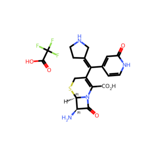 N[C@@H]1C(=O)N2C(C(=O)O)=C(C(=C3CCNC3)c3cc[nH]c(=O)c3)CS[C@H]12.O=C(O)C(F)(F)F